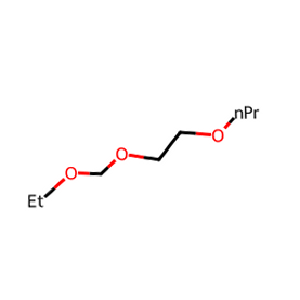 CCCOCCOCOCC